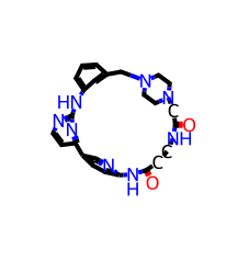 O=C1CN2CCN(CC2)Cc2cccc(c2)Nc2nccc(n2)-c2ccc(nc2)NC(=O)CCN1